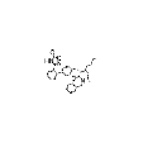 CCCCc1cc(C)n(Cc2ccccc2)c(=O)c1Cc1ccc(-c2ccccc2-c2noc(=O)[nH]2)cc1